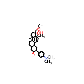 COC[C@]1(O)CC[C@H]2[C@@H]3CCC4=CC(=O)C(c5ccc(N(C)C)cc5)CC4=C3CC[C@@]21C